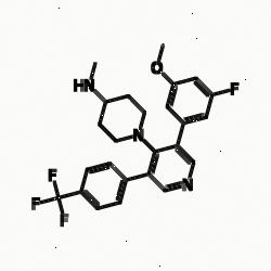 CNC1CCN(c2c(-c3ccc(C(F)(F)F)cc3)cncc2-c2cc(F)cc(OC)c2)CC1